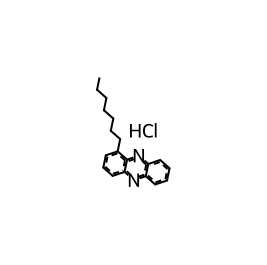 CCCCCCCc1cccc2nc3ccccc3nc12.Cl